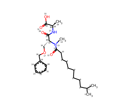 CC(C)CCCCCCCCC(=O)N(C)[C@H](COCc1ccccc1)C(=O)N[C@H](C)C(=O)O